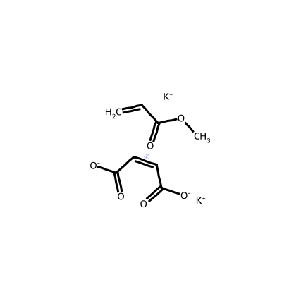 C=CC(=O)OC.O=C([O-])/C=C\C(=O)[O-].[K+].[K+]